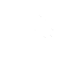 COc1ccc(Cn2nnc3c(=O)[nH]c4cc(C(C)C)ccc4c(=O)c32)cc1